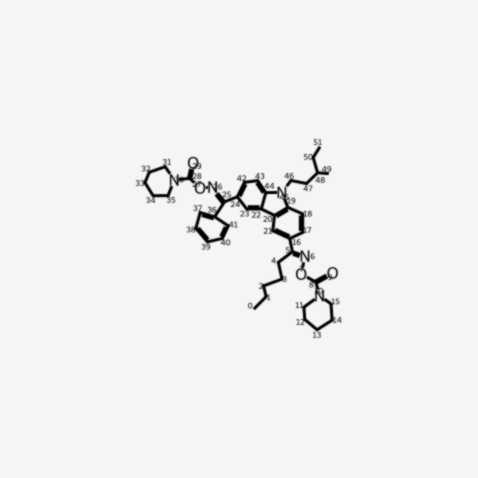 CCCCC/C(=N\OC(=O)N1CCCCC1)c1ccc2c(c1)c1cc(/C(=N/OC(=O)N3CCCCC3)c3ccccc3)ccc1n2CCC(C)CC